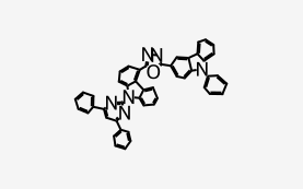 c1ccc(-c2cc(-c3ccccc3)nc(-n3c4ccccc4c4c(-c5nnc(-c6ccc7c(c6)c6ccccc6n7-c6ccccc6)o5)cccc43)n2)cc1